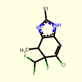 CCc1nc2c([nH]1)C=C(Cl)C(F)(C(F)F)C2C